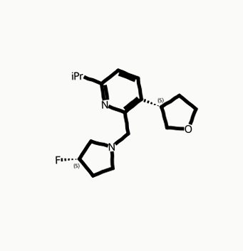 CC(C)c1ccc([C@@H]2CCOC2)c(CN2CC[C@H](F)C2)n1